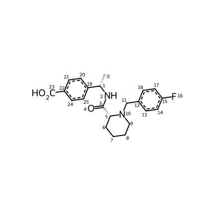 C[C@H](NC(=O)[C@H]1CCCCN1Cc1ccc(F)cc1)c1ccc(C(=O)O)cc1